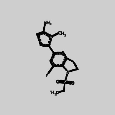 CCS(=O)(=O)N1CCc2cc(-c3ccc(N)n3C)cc(F)c21